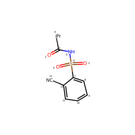 CC(C)C(=O)NS(=O)(=O)c1ccccc1C#N